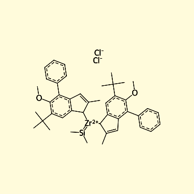 COc1c(C(C)(C)C)cc2c(c1-c1ccccc1)C=C(C)[CH]2[Zr+2]([CH]1C(C)=Cc2c1cc(C(C)(C)C)c(OC)c2-c1ccccc1)=[Si](C)C.[Cl-].[Cl-]